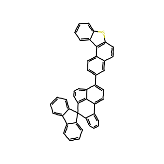 c1ccc2c(c1)-c1ccccc1C21c2ccccc2-c2ccc(-c3ccc4c(ccc5sc6ccccc6c54)c3)c3cccc1c23